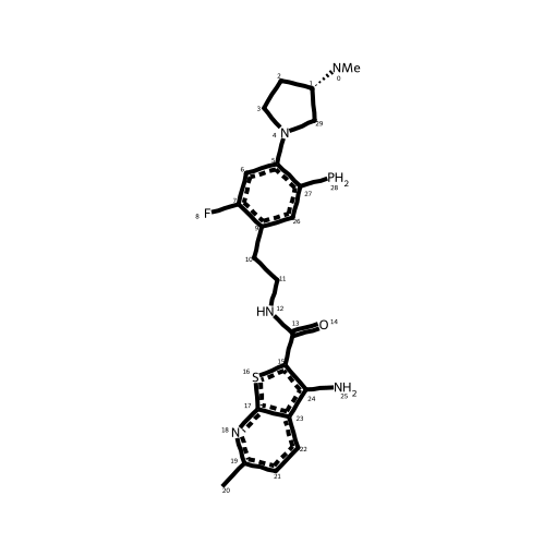 CN[C@H]1CCN(c2cc(F)c(CCNC(=O)c3sc4nc(C)ccc4c3N)cc2P)C1